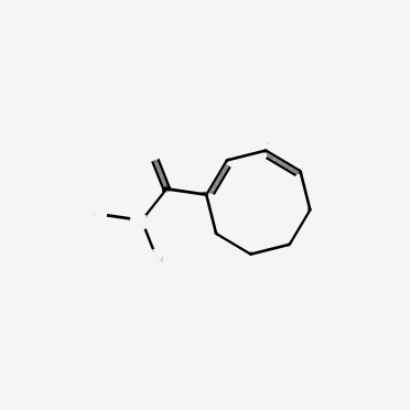 O=[C](C1=CC=CCCCC1)[Co]([Br])[Br]